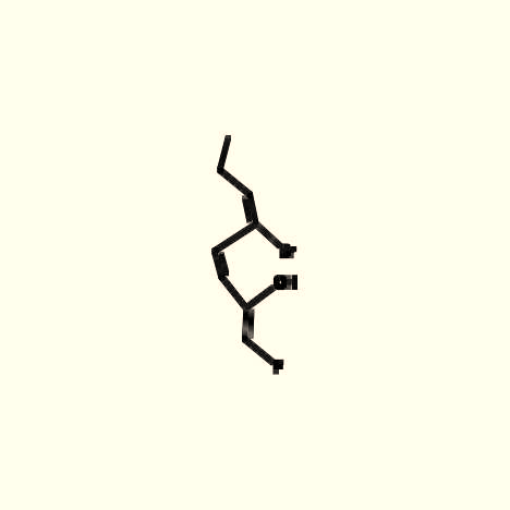 CC\C=C(Br)/C=C\C(O)=C\F